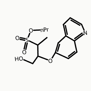 CCCOS(=O)(=O)C(C)C(CO)Oc1ccc2ncccc2c1